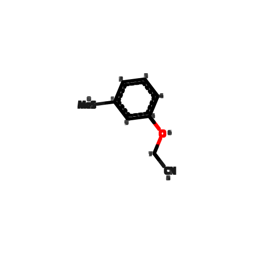 CSc1cccc(OCC#N)c1